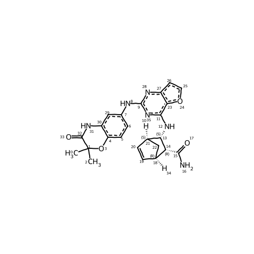 CC1(C)Oc2ccc(Nc3nc(N[C@@H]4[C@H](C(N)=O)[C@H]5C=C[C@@H]4C5)c4occc4n3)cc2NC1=O